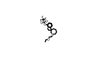 CCOCCN1CCCCC(CC)(c2cccc(OS(=O)(=O)C(F)(F)F)c2)C1